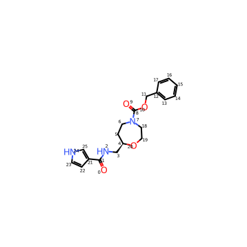 O=C(NC[C@H]1CCN(C(=O)OCc2ccccc2)CCO1)c1cc[nH]c1